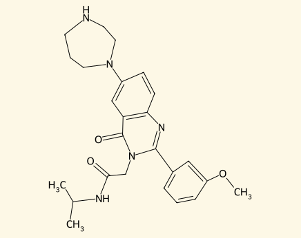 COc1cccc(-c2nc3ccc(N4CCCNCC4)cc3c(=O)n2CC(=O)NC(C)C)c1